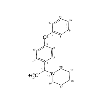 [CH2]C(c1ccc(Oc2ccccc2)cc1)N1CCCCC1